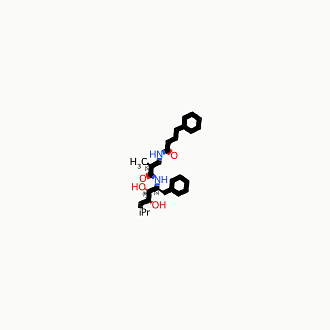 CC(C)C[C@H](O)[C@H](O)[C@H](CC1CCCCC1)NC(=O)[C@@H](C)CNC(=O)CCCC1CCCCC1